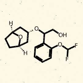 OCC(O[C@@H]1C[C@H]2CC[C@@H](C1)O2)c1ccccc1OC(F)F